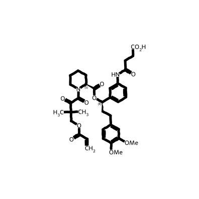 C=CC(=O)OCC(C)(C)C(=O)C(=O)N1CCCC[C@H]1C(=O)O[C@H](CCc1ccc(OC)c(OC)c1)c1cccc(NC(=O)CCC(=O)O)c1